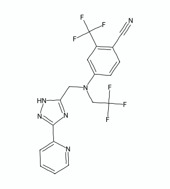 N#Cc1ccc(N(Cc2nc(-c3ccccn3)n[nH]2)CC(F)(F)F)cc1C(F)(F)F